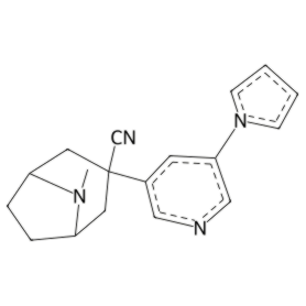 CN1C2CCC1CC(C#N)(c1cncc(-n3cccc3)c1)C2